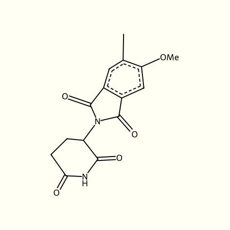 COc1cc2c(cc1C)C(=O)N(C1CCC(=O)NC1=O)C2=O